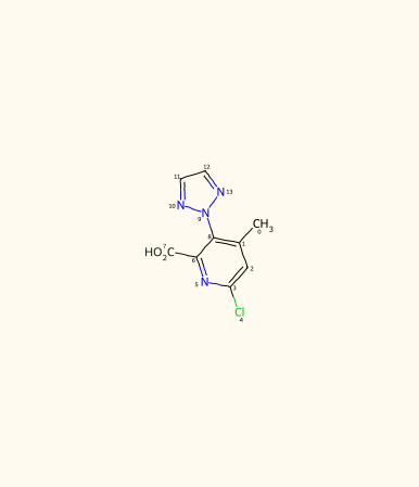 Cc1cc(Cl)nc(C(=O)O)c1-n1nccn1